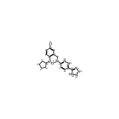 CCN(Cc1cc(Cl)ccc1OC1CCCC1)c1ccc(-c2nnn[nH]2)nn1